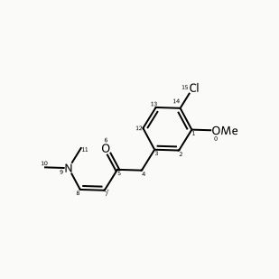 COc1cc(CC(=O)/[C]=C\N(C)C)ccc1Cl